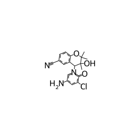 CC1(C)Oc2ccc(C#N)cc2C(n2cc(N)cc(Cl)c2=O)C1(C)O